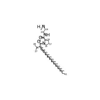 C=C=C=C=C=C=C=C=C=C=C=C=C(C(=O)N1CCCC1C(=O)NCCN)C(C)C